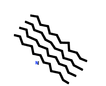 CCCCCCCCCCCC.CCCCCCCCCCCC.CCCCCCCCCCCC.CCCCCCCCCCCC.[N]